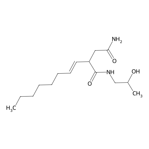 CCCCCCC=CC(CC(N)=O)C(=O)NCC(C)O